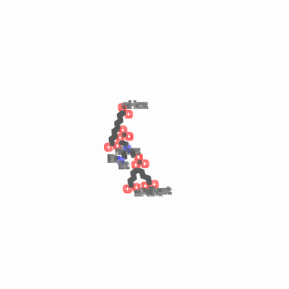 CCCCCCOC(=O)CCCC(CCCC(=O)OCCCCCC)OC(=O)OCCN(CCOC(=O)OC(CCCC(=O)OCCCCC)CCCC(=O)OCCCCC)CCN(CC)CC